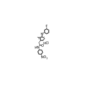 Cl.Cn1c(CC(=O)Nc2ccc([N+](=O)[O-])cc2)csc1=Nc1cccc(F)c1